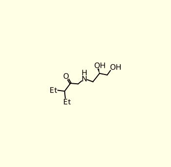 CCC(CC)C(=O)CNC[C@@H](O)CO